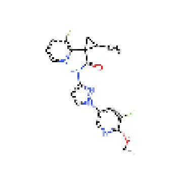 COc1ncc(-n2ccc(NC(=O)C3(c4ncccc4F)CC3C)n2)cc1F